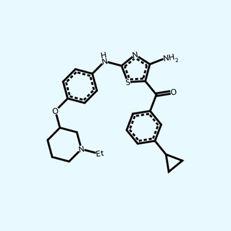 CCN1CCCC(Oc2ccc(Nc3nc(N)c(C(=O)c4cccc(C5CC5)c4)s3)cc2)C1